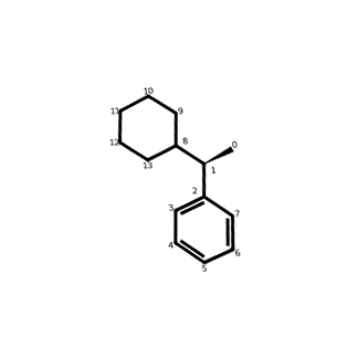 C[C@@H](c1ccccc1)C1CCCCC1